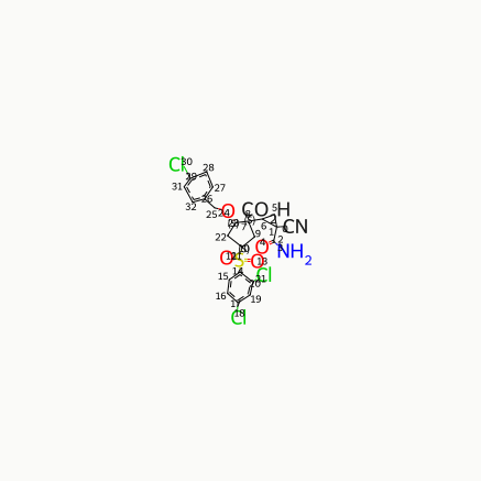 N#CC1(C(N)=O)CC1[C@@]1(C(=O)O)C[C@H](S(=O)(=O)c2ccc(Cl)cc2Cl)C[C@@H]1OCc1ccc(Cl)cc1